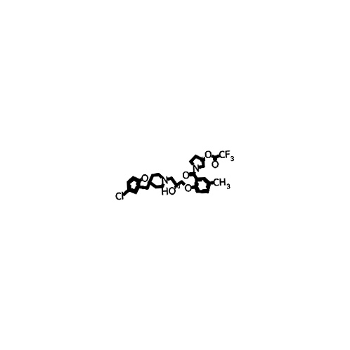 Cc1ccc(OC[C@H](O)CN2CCC3(CC2)Cc2cc(Cl)ccc2O3)c(C(=O)N2CC[C@H](OC(=O)C(F)(F)F)C2)c1